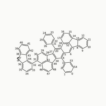 c1ccc(-c2c3cc4c5ccccc5c5cccc(c3c(-c3ccccc3)c3c6ccc(-c7cccc8sc9ccccc9c78)c7cccc(c23)c76)c54)cc1